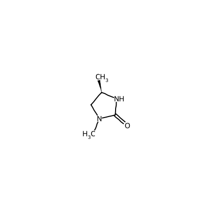 C[C@@H]1CN(C)C(=O)N1